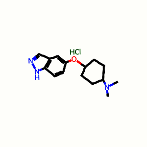 CN(C)C1CCC(Oc2ccc3[nH]ncc3c2)CC1.Cl